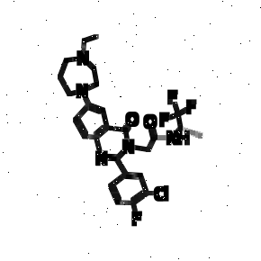 CCN1CCCN(c2ccc3nc(-c4ccc(F)c(Cl)c4)n(CC(=O)N[C@@H](C)C(F)(F)F)c(=O)c3c2)CC1